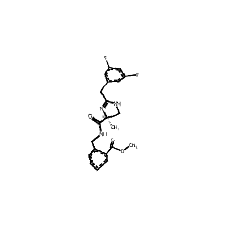 COC(=O)c1ccccc1CNC(=O)[C@]1(C)CNC(Cc2cc(F)cc(F)c2)=N1